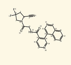 N#CC1CC(F)(F)CN1C(=O)CNC(=O)c1ccncc1-c1cncc2ccccc12